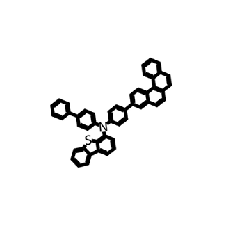 c1ccc(-c2ccc(N(c3ccc(-c4ccc5c(ccc6ccc7ccccc7c65)c4)cc3)c3cccc4c3sc3ccccc34)cc2)cc1